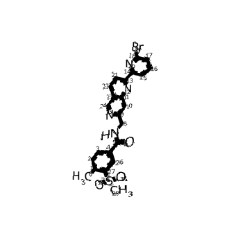 Cc1ccc(C(=O)NCc2cc3nc(-c4cccc(Br)n4)ccc3cn2)cc1S(C)(=O)=O